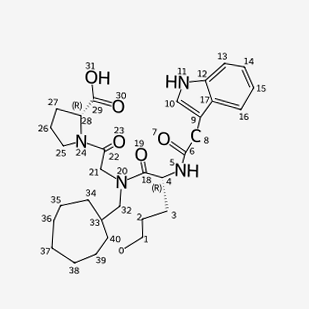 CCCC[C@@H](NC(=O)Cc1c[nH]c2ccccc12)C(=O)N(CC(=O)N1CCC[C@@H]1C(=O)O)CC1CCCCCCC1